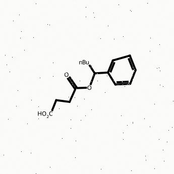 CCCCC(OC(=O)CCC(=O)O)c1ccccc1